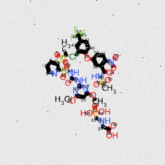 CCS(=O)(=O)c1cccnc1S(=O)(=O)NC(=O)Nc1nc(OC)cc(OC)n1.CS(=O)(=O)NC(=O)c1cc(Oc2ccc(C(F)(F)F)cc2Cl)ccc1[N+](=O)[O-].O=C(O)CNCP(=O)(O)O